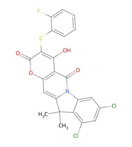 CC1(C)c2c(Cl)cc(Cl)cc2-n2c1cc1oc(=O)c(Sc3ccccc3F)c(O)c1c2=O